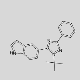 CC(C)(C)n1nc(-c2ccccc2)nc1-c1ccc2[nH]ccc2c1